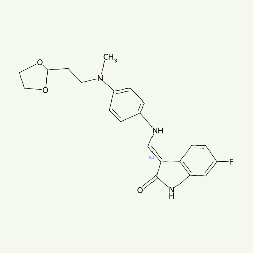 CN(CCC1OCCO1)c1ccc(N/C=C2/C(=O)Nc3cc(F)ccc32)cc1